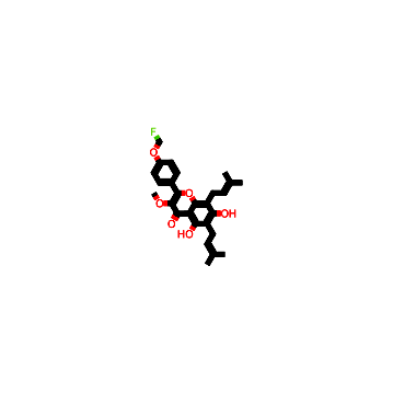 COc1c(-c2ccc(OCF)cc2)oc2c(CC=C(C)C)c(O)c(CC=C(C)C)c(O)c2c1=O